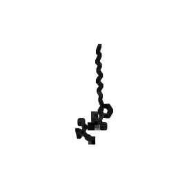 CCCCCCCCCCCCc1cccc(C(=O)NNC(=O)C2(C#N)CC2)c1